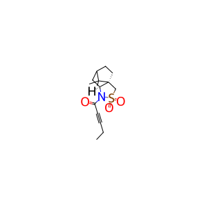 CCC#CC(=O)N1[C@H]2CC3CC[C@@]2(CS1(=O)=O)C3(C)C